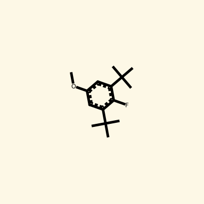 COc1cc(C(C)(C)C)c(F)c(C(C)(C)C)c1